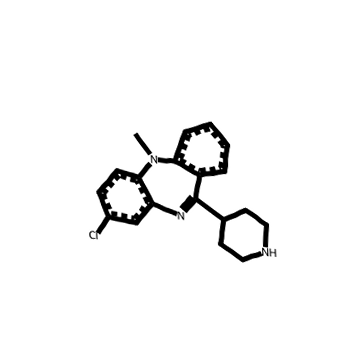 CN1c2ccc(Cl)cc2N=C(C2CCNCC2)c2ccccc21